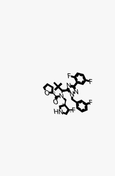 CC(C)(C)[C@H](c1nc(-c2cc(F)ccc2F)nn1Cc1cccc(F)c1)N(C[C@@H]1CNC[C@@H]1F)C(=O)[C@@H]1CCCO1